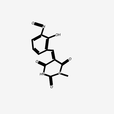 CN1C(=O)NC(=O)/C(=C\c2cccc(N=O)c2O)C1=O